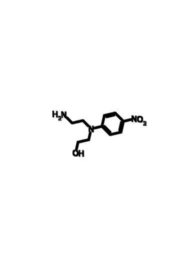 NCCN(CCO)c1ccc([N+](=O)[O-])cc1